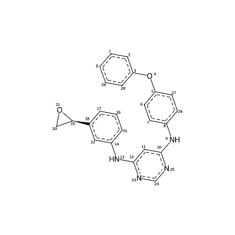 c1ccc(Oc2ccc(Nc3cc(Nc4cccc([C@H]5CO5)c4)ncn3)cc2)cc1